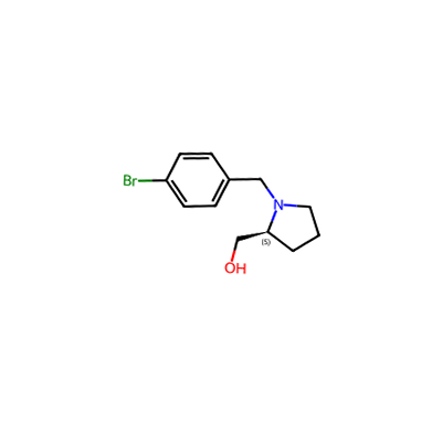 OC[C@@H]1CCCN1Cc1ccc(Br)cc1